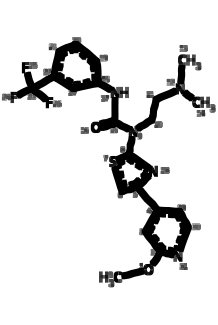 COc1cc(-c2csc(N(CCN(C)C)C(=O)Nc3cccc(C(F)(F)F)c3)n2)ccn1